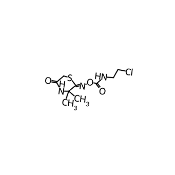 CC1(C)NC(=O)CSC1=NOC(=O)NCCCl